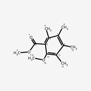 COC(=O)c1c(C)c(C)c(C)c(C)c1OC